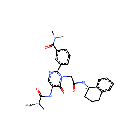 CN[C@@H](C)C(=O)Nc1cnc(-c2cccc(C(=O)N(C)C)c2)n(CC(=O)N[C@@H]2CCCc3ccccc32)c1=O